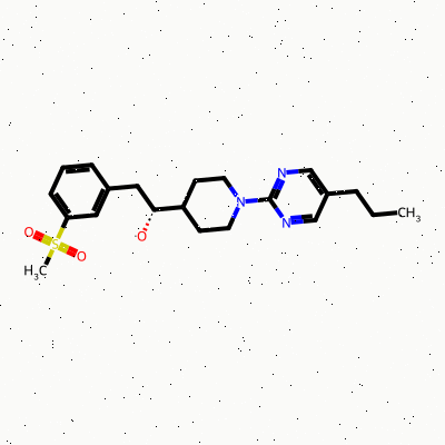 CCCc1cnc(N2CCC([C@H]([O])Cc3cccc(S(C)(=O)=O)c3)CC2)nc1